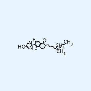 CCCC[Si](C)(C)CCCCC1CCc2c(cc(F)c(-c3ncc(O)cn3)c2F)C1=O